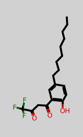 CCCCCCCCCc1ccc(O)c(C(=O)CC(=O)C(F)(F)F)c1